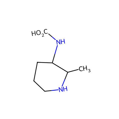 CC1NCCCC1NC(=O)O